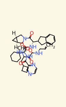 C=CCNC(=O)C(=O)C(CC1CCC1)NC(=O)[C@@H]1[C@H]2C[C@H]2CN1C(=O)[C@@H](NC(=O)[C@@H](NC(=O)c1cnccn1)C1(C)CCCCC1)C1Cc2ccccc2C1